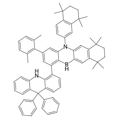 Cc1cccc(C)c1-c1cc(-c2cccc3c2Nc2ccccc2C3(c2ccccc2)c2ccccc2)c2c(c1)N(c1ccc3c(c1)C(C)(C)CCC3(C)C)c1cc3c(cc1B2)C(C)(C)CCC3(C)C